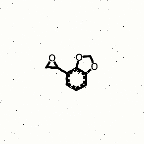 c1cc2c(c(C3CO3)c1)OCO2